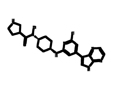 CCN(C(=O)C1CCNC1)[C@H]1CC[C@H](Nc2cc(-c3c[nH]c4nccnc34)cc(Cl)n2)CC1